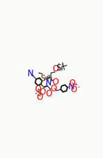 CCS[C@@H]1[C@@H](CCO[Si](C)(C)C(C)(C)C)C(=O)N1C(C(=O)OCc1ccc([N+](=O)[O-])cc1)=C(OS(C)(=O)=O)c1ccc(C#N)cc1